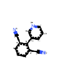 N#Cc1cccc(C#N)c1-c1c[c]cnc1